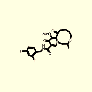 COc1c2n(cc(C(=O)NCc3ccc(F)cc3F)c1=O)CC(C)OCCCCC2=O